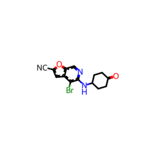 N#Cc1cc2c(Br)c(NC3CCC(=O)CC3)ncc2o1